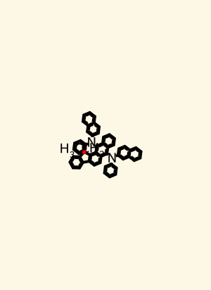 CC1(C)c2ccccc2-c2ccc3c(N(c4ccccc4)c4ccc5ccccc5c4)c4ccccc4c(N(c4ccccc4)c4ccc5ccccc5c4)c3c21